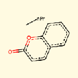 CCCC.O=c1ccc2ccccc2o1